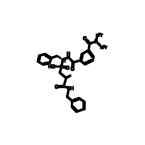 CCCN(CCC)C(=O)c1cccc(C(=O)N[C@@H](Cc2ccccc2)P(=O)(O)CC(C)C(=O)NCc2ccccc2)c1